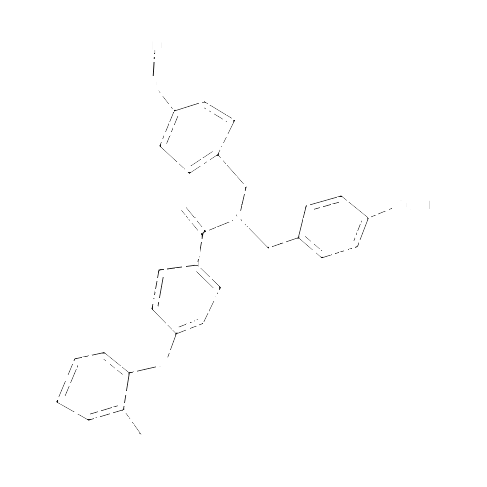 CCOc1ccc(CN(Cc2ccc(C(=O)O)cc2)C(=O)c2ccc(Oc3ccccc3F)cc2)cc1